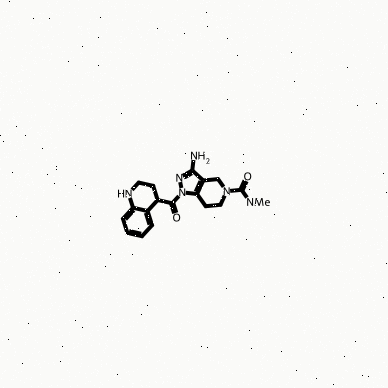 CNC(=O)N1CCc2c(c(N)nn2C(=O)C2CCNc3ccccc32)C1